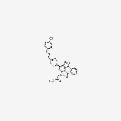 O=C(O)CNc1cc(N2CCN(CCCc3ccc(Cl)cc3)CC2)c2noc3c2c1C(=O)c1ccccc1-3